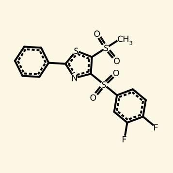 CS(=O)(=O)c1sc(-c2ccccc2)nc1S(=O)(=O)c1ccc(F)c(F)c1